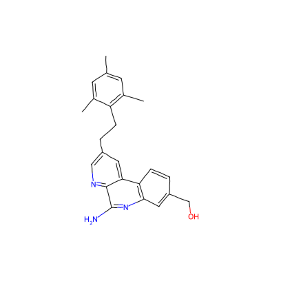 Cc1cc(C)c(CCc2cnc3c(N)nc4cc(CO)ccc4c3c2)c(C)c1